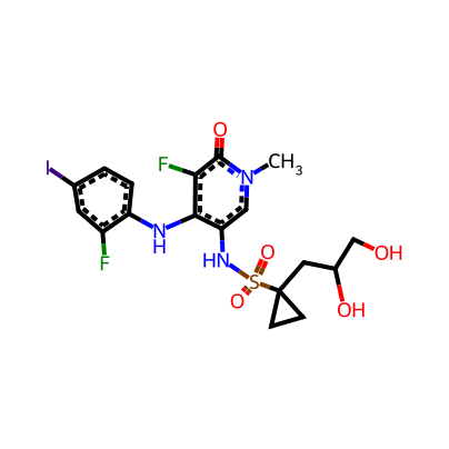 Cn1cc(NS(=O)(=O)C2(CC(O)CO)CC2)c(Nc2ccc(I)cc2F)c(F)c1=O